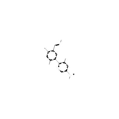 O=[N+]([O-])c1cnc(-c2cc(C=NO)c(Cl)cc2F)c(Cl)c1